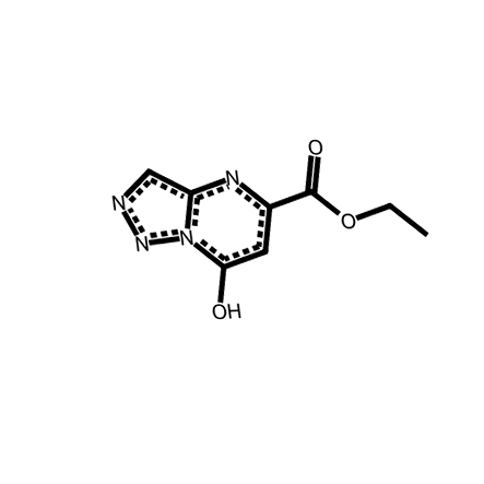 CCOC(=O)c1cc(O)n2nncc2n1